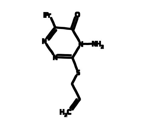 C=CCSc1nnc(C(C)C)c(=O)n1N